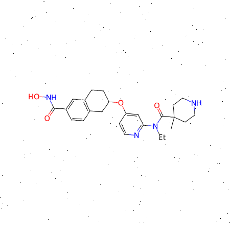 CCN(C(=O)C1(C)CCNCC1)c1cc(OC2CCc3cc(C(=O)NO)ccc3C2)ccn1